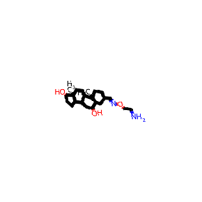 CC12CCC3C(CC(O)C4CC(C=NOCCN)CCC43C)C1CCC2O